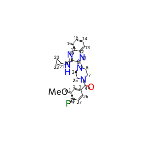 COc1cc(C(=O)N2CCN(c3nc4ccccc4nc3NC3CC3)CC2)ccc1F